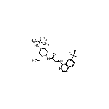 CC(C)(C)N[C@@H]1CC[C@H](NC(=O)CNc2ncnc3ccc(C(F)(F)F)cc23)[C@H](CO)C1